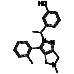 Cc1ccccc1-c1c2c(nn1C(C)c1cccc(O)c1)CN(C)C2